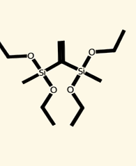 C=C([Si](C)(OCC)OCC)[Si](C)(OCC)OCC